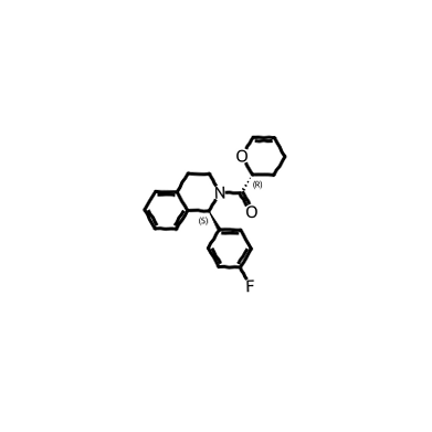 O=C([C@H]1CCC=CO1)N1CCc2ccccc2[C@@H]1c1ccc(F)cc1